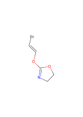 CCC=COC1=NCCO1